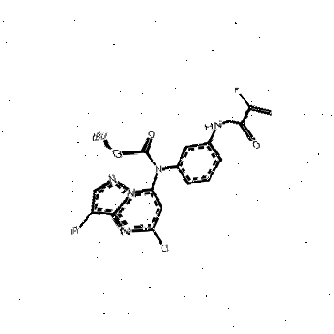 C=C(F)C(=O)Nc1cccc(N(C(=O)OC(C)(C)C)c2cc(Cl)nc3c(C(C)C)cnn23)c1